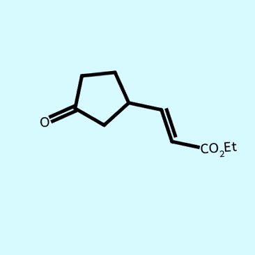 CCOC(=O)C=CC1CCC(=O)C1